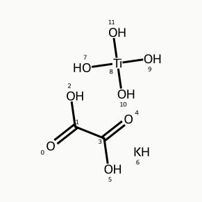 O=C(O)C(=O)O.[KH].[OH][Ti]([OH])([OH])[OH]